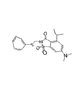 CC(C)c1cc(N(C)C)cc2c1C(=O)N(CSc1ccccc1)S2(=O)=O